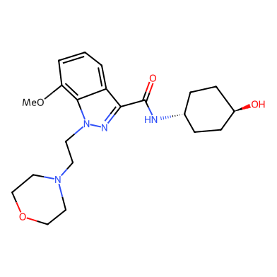 COc1cccc2c(C(=O)N[C@H]3CC[C@H](O)CC3)nn(CCN3CCOCC3)c12